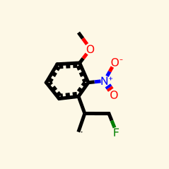 [CH2]C(CF)c1cccc(OC)c1[N+](=O)[O-]